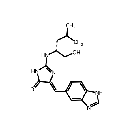 CC(C)C[C@H](CO)NC1=N/C(=C\c2ccc3[nH]cnc3c2)C(=O)N1